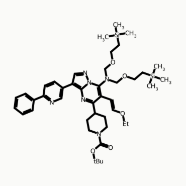 CCO/C=C/c1c(C2CCN(C(=O)OC(C)(C)C)CC2)nc2c(-c3ccc(-c4ccccc4)nc3)cnn2c1N(COCC[Si](C)(C)C)COCC[Si](C)(C)C